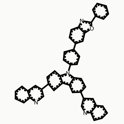 c1ccc(-c2nc3ccc(-c4ccc(-n5c6ccc(-c7cnc8ccccc8c7)cc6c6cc(-c7cnc8ccccc8c7)ccc65)cc4)cc3o2)cc1